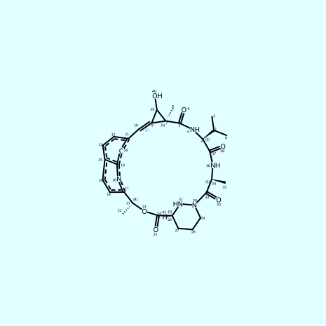 CC(C)[C@@H]1NC(=O)[C@@]2(C)/C(=C\c3ccc4ccc(nc4c3)[C@@H](C)OC(=O)[C@@H]3CCCN(N3)C(=O)[C@H](C)NC1=O)C2O